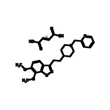 COc1ccc2c(CCC3CCN(Cc4ccccn4)CC3)noc2c1OC.O=C(O)/C=C/C(=O)O